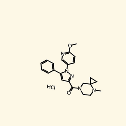 COc1ccc(-n2nc(C(=O)N3CCN(C)C4(CC4)C3)cc2-c2ccccc2)cn1.Cl